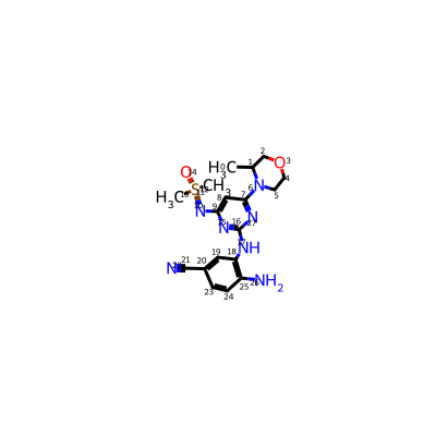 CC1COCCN1c1cc(N=S(C)(C)=O)nc(Nc2cc(C#N)ccc2N)n1